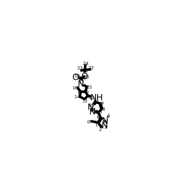 Cc1cnn(C)c1-c1ccc(NC2CCC3CN(C(=O)OC(C)(C)C)CC32)nn1